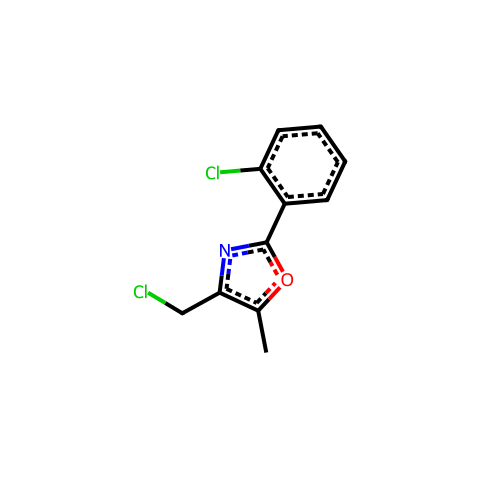 Cc1oc(-c2ccccc2Cl)nc1CCl